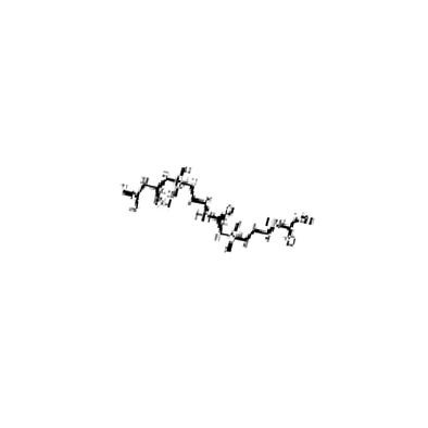 CCC(C)C(=O)NCCC[N+](C)(C)CC(=O)NCCC[N+](C)(C)CC(O)CN(C)C